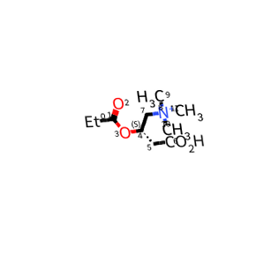 CCC(=O)O[C@@H](CC(=O)O)C[N+](C)(C)C